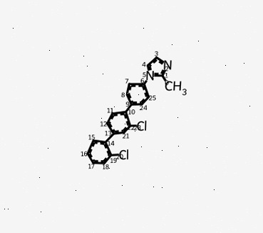 Cc1nccn1-c1ccc(-c2ccc(-c3ccccc3Cl)cc2Cl)cc1